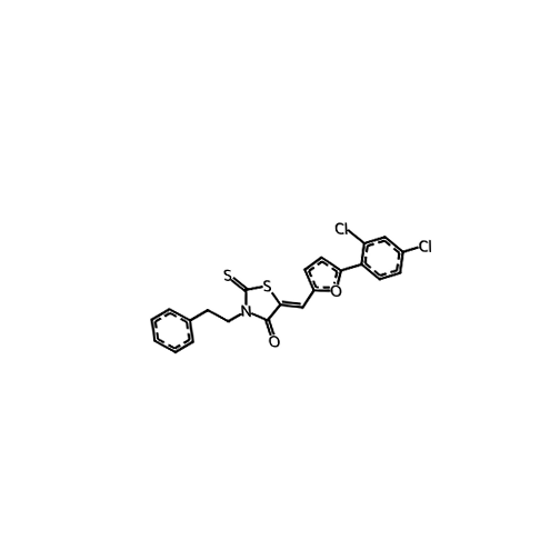 O=C1C(=Cc2ccc(-c3ccc(Cl)cc3Cl)o2)SC(=S)N1CCc1ccccc1